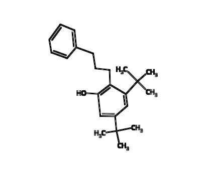 CC(C)(C)c1cc(O)c(CCCc2ccccc2)c(C(C)(C)C)c1